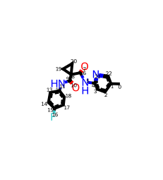 Cc1ccc(NC(=O)C2(C(=O)Nc3ccc(F)cc3)CC2)nc1